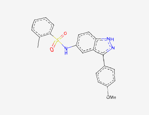 COc1ccc(-c2n[nH]c3ccc(NS(=O)(=O)c4ccccc4C)cc23)cc1